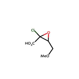 COCC1OC1(Cl)C(=O)O